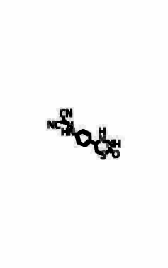 N#CC(C#N)=NNc1ccc(C2CSC(=O)NN2)cc1